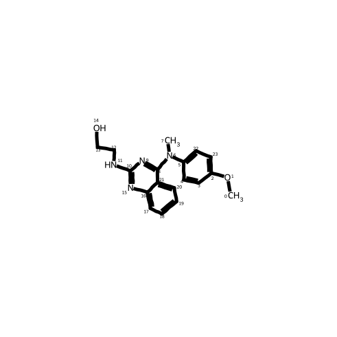 COc1ccc(N(C)c2nc(NCCO)nc3ccccc23)cc1